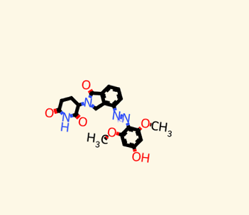 COc1cc(O)cc(OC)c1/N=N/c1cccc2c1CN(C1CCC(=O)NC1=O)C2=O